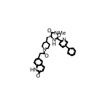 CNC(=O)[C@H](CC1CCN(C(=O)Cc2ccc3[nH]c(=O)ccc3c2)CC1)NC(=O)c1ccc(-c2ccccc2)cn1